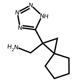 NCC1(c2nnn[nH]2)CC12CCCC2